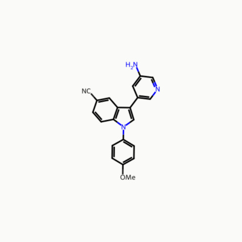 COc1ccc(-n2cc(-c3cncc(N)c3)c3cc(C#N)ccc32)cc1